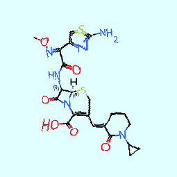 CON=C(C(=O)N[C@@H]1C(=O)N2C(C(=O)O)=C(C=C3CCCN(C4CC4)C3=O)CS[C@H]12)c1csc(N)n1